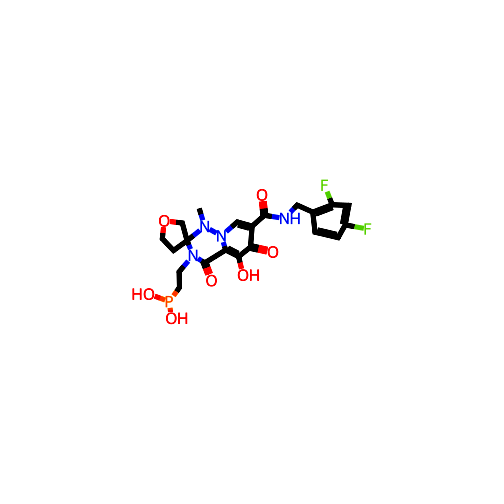 CN1n2cc(C(=O)NCc3ccc(F)cc3F)c(=O)c(O)c2C(=O)N(CCP(O)O)C12CCOC2